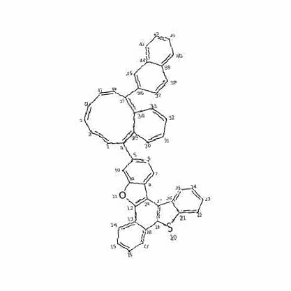 c1cccc(-c2ccc3c(c2)oc2c4ccccc4c4sc5ccccc5c4c32)c2ccccc2c(-c2ccc3ccccc3c2)cc1